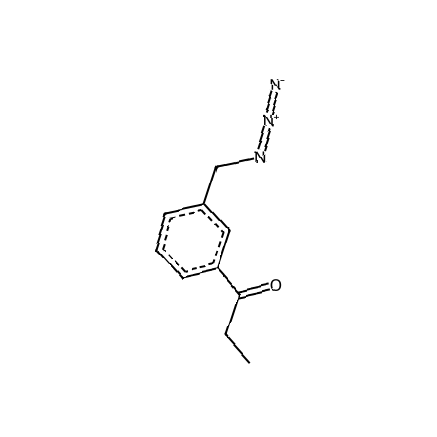 CCC(=O)c1cccc(CN=[N+]=[N-])c1